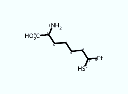 CCC(S)CCCCC(N)C(=O)O